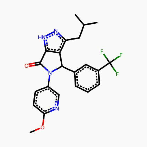 COc1ccc(N2C(=O)c3[nH]nc(CC(C)C)c3C2c2cccc(C(F)(F)F)c2)cn1